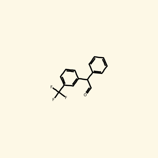 O=CC(c1ccccc1)c1cccc(C(F)(F)F)c1